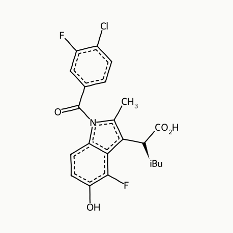 CC[C@H](C)C(C(=O)O)c1c(C)n(C(=O)c2ccc(Cl)c(F)c2)c2ccc(O)c(F)c12